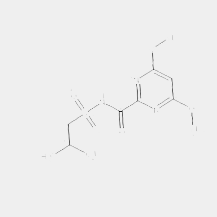 COc1cc(OC)nc(C(=O)NS(=O)(=O)CC(C)C)n1